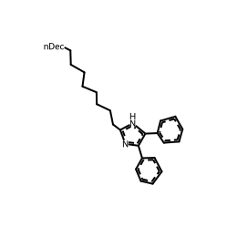 CCCCCCCCCCCCCCCCCCc1nc(-c2ccccc2)c(-c2ccccc2)[nH]1